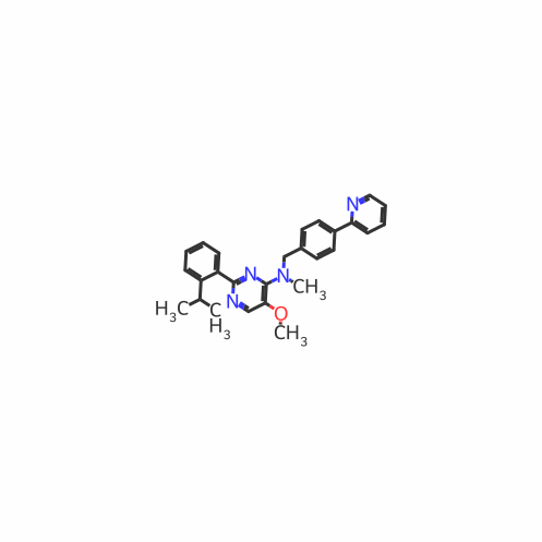 COc1cnc(-c2ccccc2C(C)C)nc1N(C)Cc1ccc(-c2ccccn2)cc1